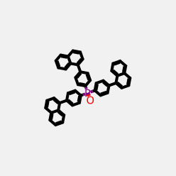 O=P(c1ccc(-c2cccc3ccccc23)cc1)(c1ccc(-c2cccc3ccccc23)cc1)c1ccc(-c2cccc3ccccc23)cc1